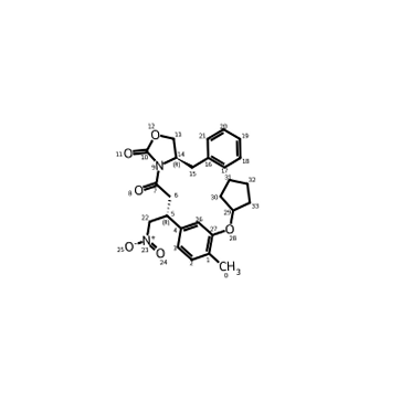 Cc1ccc([C@@H](CC(=O)N2C(=O)OC[C@H]2Cc2ccccc2)C[N+](=O)[O-])cc1OC1CCCC1